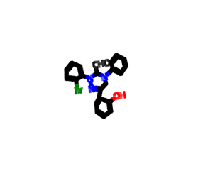 O=CC1N(c2ccccc2)CC(c2ccccc2O)=NN1c1ccccc1Br